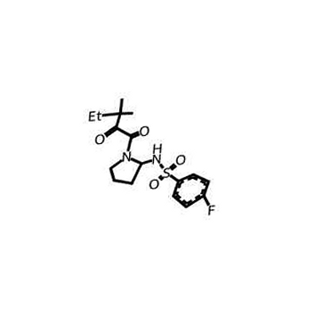 CCC(C)(C)C(=O)C(=O)N1CCCC1NS(=O)(=O)c1ccc(F)cc1